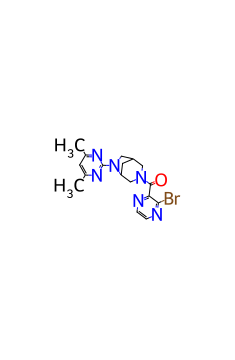 Cc1cc(C)nc(N2CC3CC2CN(C(=O)c2nccnc2Br)C3)n1